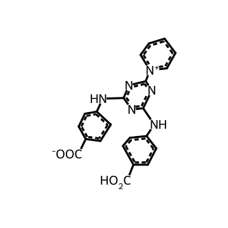 O=C([O-])c1ccc(Nc2nc(Nc3ccc(C(=O)O)cc3)nc(-[n+]3ccccc3)n2)cc1